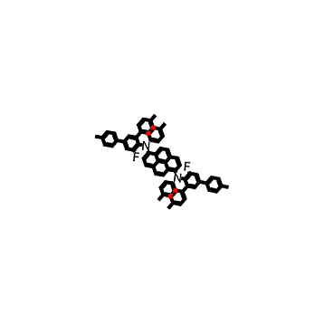 Cc1ccc(-c2cc(F)c(N(c3ccc(C)cc3)c3ccc4ccc5c(N(c6ccc(C)cc6)c6c(F)cc(-c7ccc(C)cc7)cc6-c6ccc(C)cc6)ccc6ccc3c4c65)c(-c3ccc(C)cc3)c2)cc1